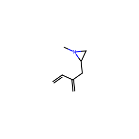 C=CC(=C)CC1CN1C